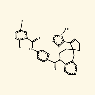 Cn1ccnc1C1=CCCC12CCN(C(=O)c1ccc(NC(=O)c3cc(F)ccc3Cl)cc1)c1ccccc1C2